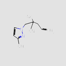 C=CCC(C#N)(C#N)Cn1ccc(C)n1